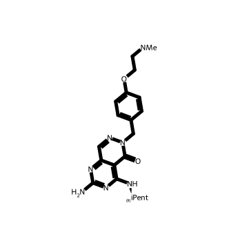 CCC[C@@H](C)Nc1nc(N)nc2cnn(Cc3ccc(OCCNC)cc3)c(=O)c12